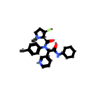 CC(C)(C)c1ccc(N(C(=O)[C@H]2[C@H](F)CCN2C#N)C(C(=O)NC2CCCCC2)c2cccnc2)cc1